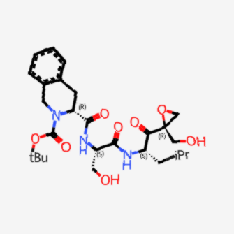 CC(C)C[C@H](NC(=O)[C@H](CO)NC(=O)[C@H]1Cc2ccccc2CN1C(=O)OC(C)(C)C)C(=O)[C@@]1(CO)CO1